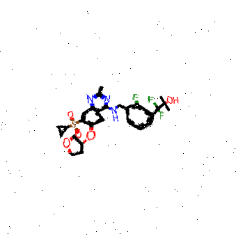 Cc1nc(NCc2cccc(C(F)(F)C(C)(C)O)c2F)c2cc(O[C@H]3CCOC3)c(S(=O)(=O)C3CC3)cc2n1